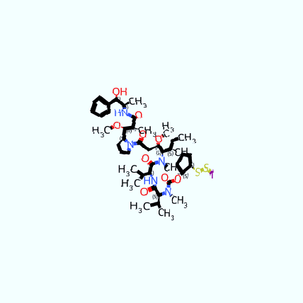 CC[C@H](C)[C@@H]([C@@H](CC(=O)N1CCC[C@H]1[C@H](OC)[C@@H](C)C(=O)N[C@H](C)[C@@H](O)c1ccccc1)OC)N(C)C(=O)[C@@H](NC(=O)[C@H](C(C)C)N(C)C(=O)O[C@H]1CCC[C@@H]1SSI)C(C)C